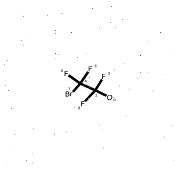 [O]C(F)(F)C(F)(F)Br